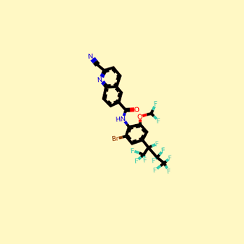 N#Cc1ccc2cc(C(=O)Nc3c(Br)cc(C(F)(C(F)(F)F)C(F)(F)C(F)(F)F)cc3OC(F)F)ccc2n1